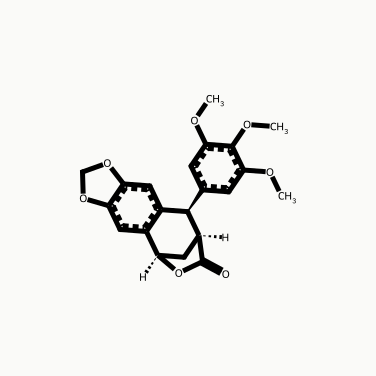 COc1cc([C@@H]2c3cc4c(cc3[C@H]3C[C@@H]2C(=O)O3)OCO4)cc(OC)c1OC